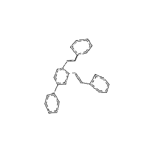 C(=Cc1ccc(-c2ccccc2)cc1C=Cc1ccccc1)c1ccccc1